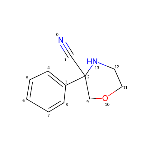 N#CC1(c2ccccc2)COCCN1